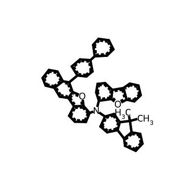 CC1(C)c2ccccc2-c2ccc(N(c3cccc4c3oc3ccccc34)c3cccc4c3oc3c(-c5ccc(-c6ccccc6)cc5)c5ccccc5cc34)cc21